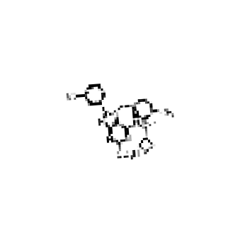 CCc1cccc(-c2nc3nc(C(=O)O)nc(N[C@H](C)C4CCC4)c3n2Cc2ccc(C(F)(F)F)cc2)c1